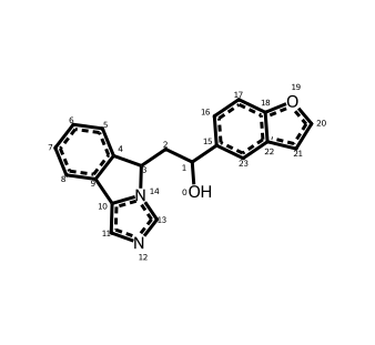 OC(CC1c2ccccc2-c2cncn21)c1ccc2occc2c1